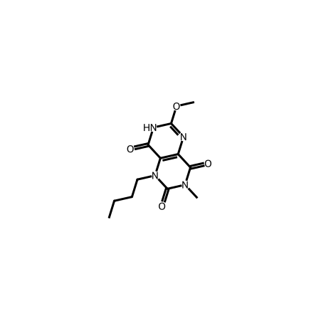 CCCCn1c(=O)n(C)c(=O)c2nc(OC)[nH]c(=O)c21